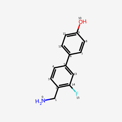 NCc1ccc(-c2ccc(O)cc2)cc1F